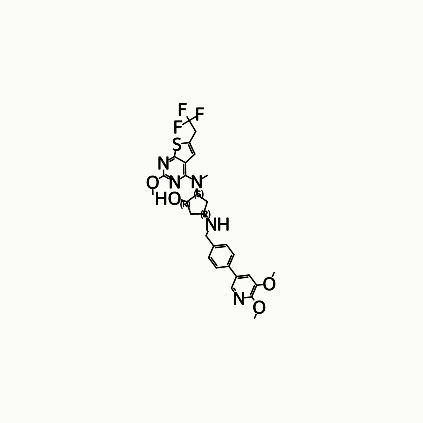 COc1nc(N(C)[C@H]2C[C@@H](NCc3ccc(-c4cnc(OC)c(OC)c4)cc3)C[C@H]2O)c2cc(CC(F)(F)F)sc2n1